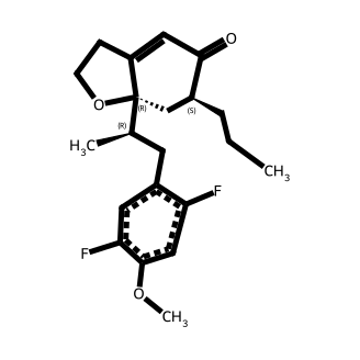 CCC[C@H]1C[C@]2([C@H](C)Cc3cc(F)c(OC)cc3F)OCCC2=CC1=O